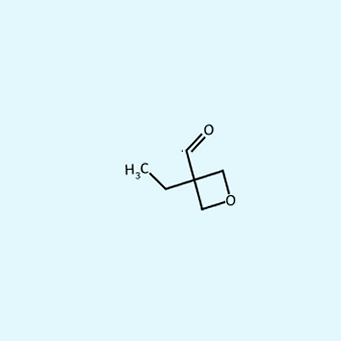 CCC1([C]=O)COC1